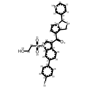 O=C(c1ccn2c1CSC2c1cccnc1)c1cn(S(=O)(=O)CCO)c2cc(-c3ccc(F)cc3)ccc12